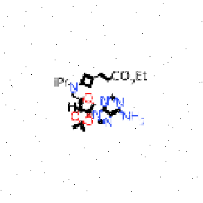 CCOC(=O)CC[C@H]1C[C@H](N(C[C@H]2OC[C@@]3(n4cnc5c(N)ncnc54)OC(C)(C)O[C@H]23)C(C)C)C1